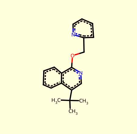 CC(C)(C)c1cnc(OCc2ccccn2)c2ccccc12